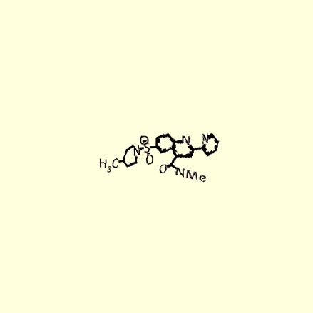 CNC(=O)c1cc(-c2ccccn2)nc2ccc(S(=O)(=O)N3CCC(C)CC3)cc12